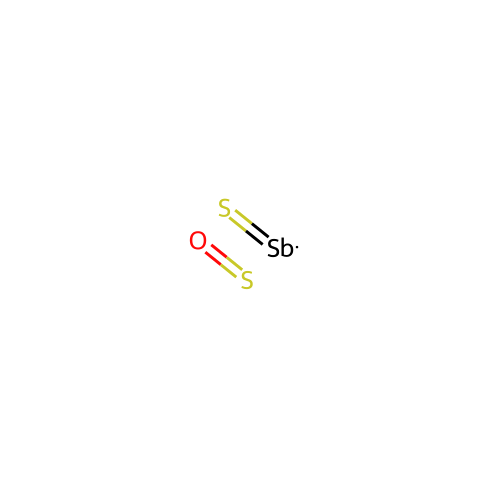 O=S.[S]=[Sb]